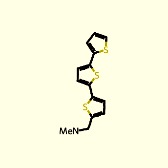 CNCc1ccc(-c2ccc(-c3cccs3)s2)s1